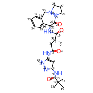 C[C@H](CC(=O)Nc1cc(NC(=O)C(C)(C)C)nn1C)C(=O)N[C@@H]1C(=O)N2CCCN2Cc2ccccc21